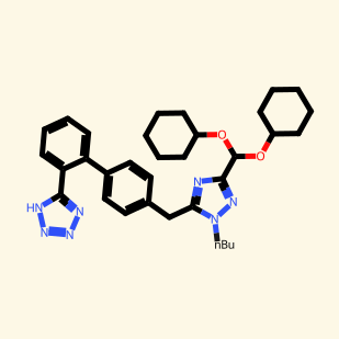 CCCCn1nc(C(OC2CCCCC2)OC2CCCCC2)nc1Cc1ccc(-c2ccccc2-c2nnn[nH]2)cc1